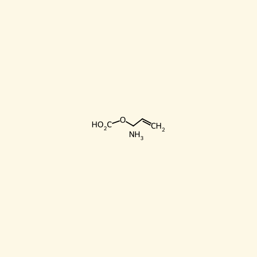 C=CCOC(=O)O.N